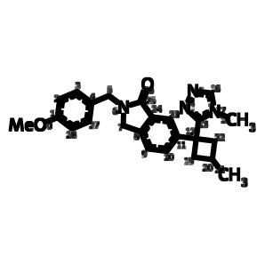 COc1ccc(CN2Cc3ccc(C4(c5nncn5C)CC(C)C4)cc3C2=O)cc1